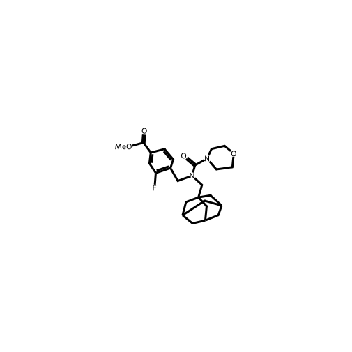 COC(=O)c1ccc(CN(CC23CC4CC(CC(C4)C2)C3)C(=O)N2CCOCC2)c(F)c1